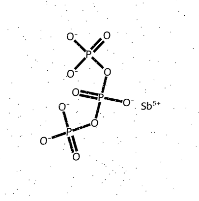 O=P([O-])([O-])OP(=O)([O-])OP(=O)([O-])[O-].[Sb+5]